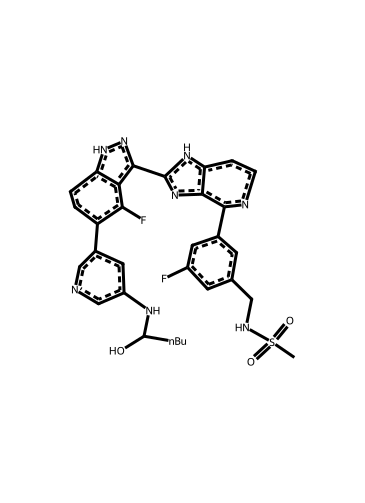 CCCCC(O)Nc1cncc(-c2ccc3[nH]nc(-c4nc5c(-c6cc(F)cc(CNS(C)(=O)=O)c6)nccc5[nH]4)c3c2F)c1